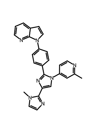 Cc1cc(-n2cc(-c3nccn3C)nc2-c2ccc(-n3ccc4cccnc43)cc2)ccn1